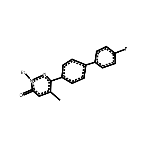 CCn1nc(-c2ccc(-c3ccc(F)cc3)cc2)c(C)cc1=O